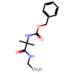 CC(C)(NC(=O)OCc1ccccc1)C(=O)NCC(=O)O